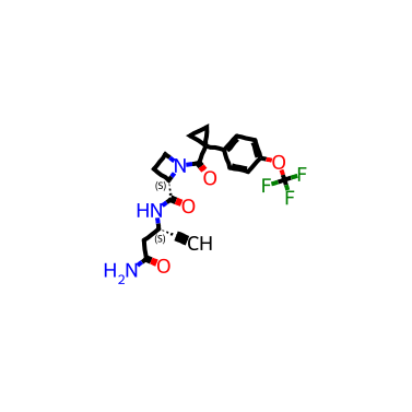 C#C[C@H](CC(N)=O)NC(=O)[C@@H]1CCN1C(=O)C1(c2ccc(OC(F)(F)F)cc2)CC1